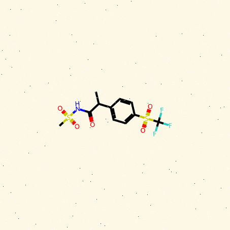 CC(C(=O)NS(C)(=O)=O)c1ccc(S(=O)(=O)C(F)(F)F)cc1